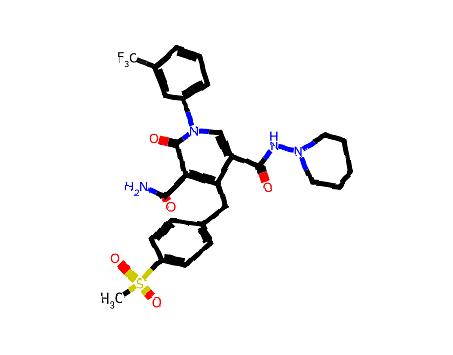 CS(=O)(=O)c1ccc(Cc2c(C(=O)NN3CCCCC3)cn(-c3cccc(C(F)(F)F)c3)c(=O)c2C(N)=O)cc1